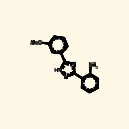 COc1cccc(-c2nc(-c3ccccc3N)n[nH]2)c1